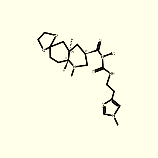 CCN(C(=O)NCCc1cn(C)cn1)C(=O)[C@@H]1C[C@@H]2CC3(CC[C@H]2N(C)C1)OCCO3